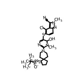 CN1C(N2CCC3(CCC[C@H]3N[S@+]([O-])C(C)(C)C)CC2)=NC=C(Sc2ccc3nn(C)c(C#N)c3c2Cl)C1O